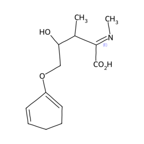 C/N=C(/C(=O)O)C(C)C(O)COC1=CCCC=C1